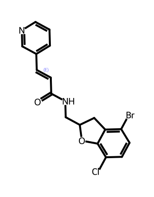 O=C(/C=C/c1cccnc1)NCC1Cc2c(Br)ccc(Cl)c2O1